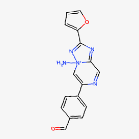 N[N+]12C=C(c3ccc(C=O)cc3)N=CC1=NC(c1ccco1)=N2